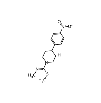 CN=C(SC)N1CCC(c2ccc([N+](=O)[O-])cc2)CC1.I